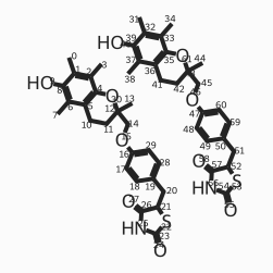 Cc1c(C)c2c(c(C)c1O)CCC(C)(COc1ccc(CC3SC(=O)NC3=O)cc1)O2.Cc1c(C)c2c(c(C)c1O)CCC(C)(COc1ccc(CC3SC(=O)NC3=O)cc1)O2